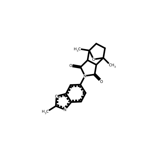 Cc1nc2ccc(N3C(=O)C4C(C3=O)C3(C)CCC4(C)O3)cc2o1